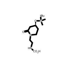 CC(C)(C)[Si](C)(C)O[C@H]1CCN(CCNC(=O)O)C(=O)C1